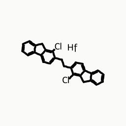 Clc1c(CCc2ccc3c(c2Cl)Cc2ccccc2-3)ccc2c1Cc1ccccc1-2.[Hf]